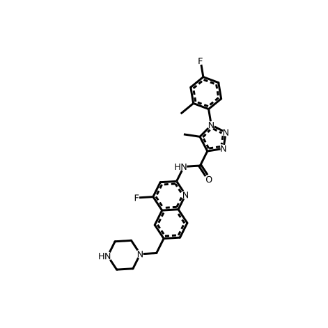 Cc1cc(F)ccc1-n1nnc(C(=O)Nc2cc(F)c3cc(CN4CCNCC4)ccc3n2)c1C